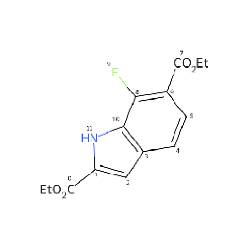 CCOC(=O)c1cc2ccc(C(=O)OCC)c(F)c2[nH]1